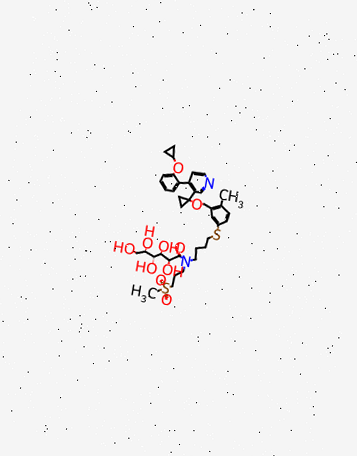 Cc1ccc(SCCCCN(CCCS(C)(=O)=O)C(=O)[C@@H](O)[C@@H](O)[C@H](O)[C@@H](O)CO)cc1COC1(c2cnccc2-c2ccccc2OC2CC2)CC1